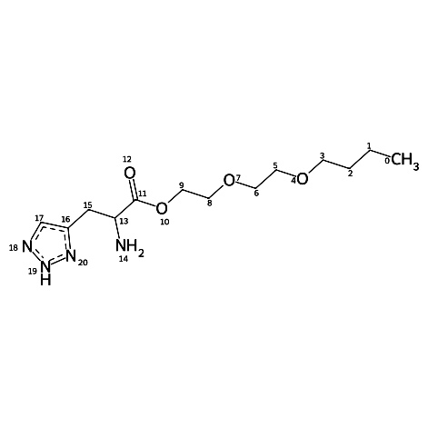 CCCCOCCOCCOC(=O)C(N)Cc1cn[nH]n1